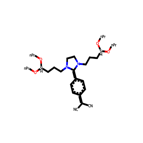 CCCO[SiH](CCCN1CCN(CCC[SiH](OCCC)OCCC)C1=c1ccc(=C(C#N)C#N)cc1)OCCC